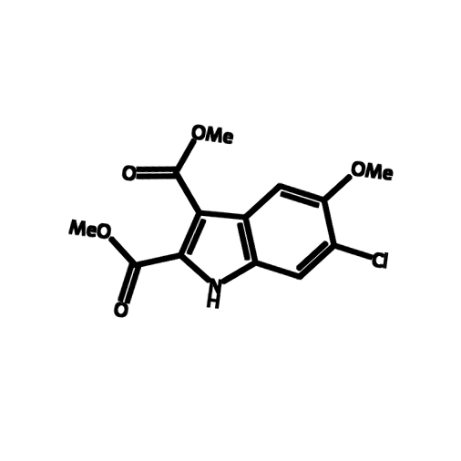 COC(=O)c1[nH]c2cc(Cl)c(OC)cc2c1C(=O)OC